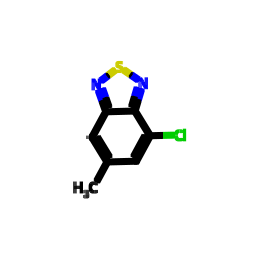 Cc1[c]c2nsnc2c(Cl)c1